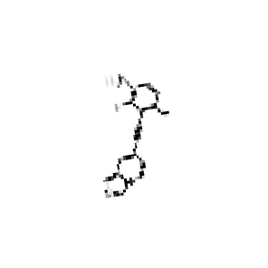 Nc1ccc(F)c(C#Cc2ccn3cncc3c2)c1F